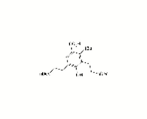 CCCCCCCCCCCCc1cc(C(=O)O)c(C(C)(C)C)c(CCCCCCCCCCCC)c1O